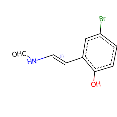 O=CN/C=C/c1cc(Br)ccc1O